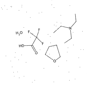 C1CCOC1.CCN(CC)CC.O.O=C(O)C(F)(F)F